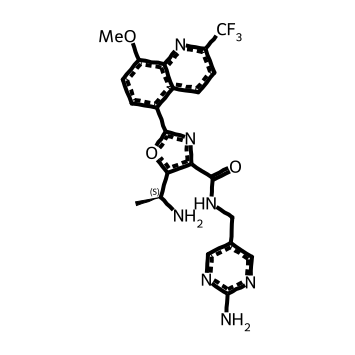 COc1ccc(-c2nc(C(=O)NCc3cnc(N)nc3)c([C@H](C)N)o2)c2ccc(C(F)(F)F)nc12